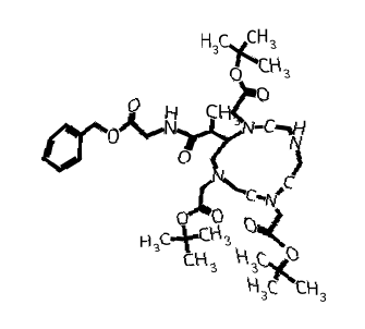 CC(C(=O)NCC(=O)OCc1ccccc1)C1CN(CC(=O)OC(C)(C)C)CCN(CC(=O)OC(C)(C)C)CCNCCN1CC(=O)OC(C)(C)C